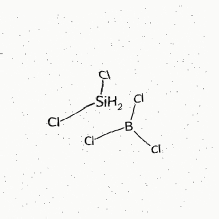 ClB(Cl)Cl.Cl[SiH2]Cl